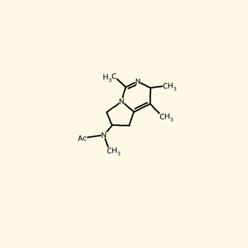 CC(=O)N(C)C1CC2=C(C)C(C)N=C(C)N2C1